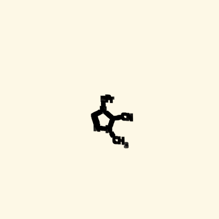 CCCN1C=NN(C)C1C#N